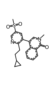 Cn1cc(-c2cc(S(C)(=O)=O)cnc2CCC2CC2)c2ccccc2c1=O